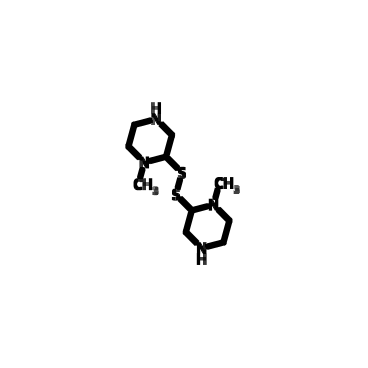 CN1CCNCC1SSC1CNCCN1C